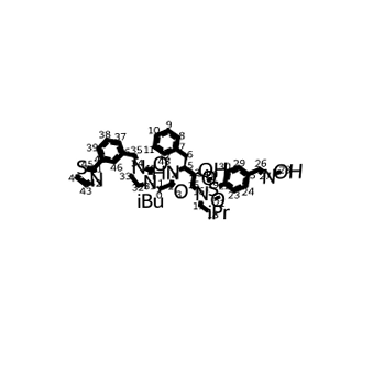 CC[C@H](C)[C@@H](C(=O)N[C@@H](Cc1ccccc1)[C@H](O)CN(CC(C)C)S(=O)(=O)c1ccc(/C=N/O)cc1)N1CCN(Cc2cccc(-c3nccs3)c2)C1=O